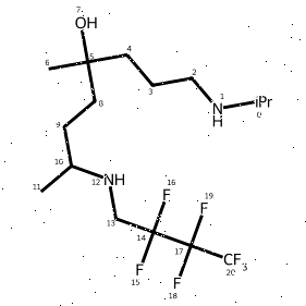 CC(C)NCCCC(C)(O)CCC(C)NCC(F)(F)C(F)(F)C(F)(F)F